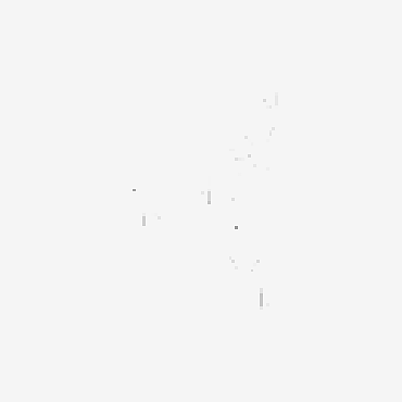 Cl.N#Cc1ccc(OCC2(CNC3CC(O)C3)CN(S(=O)(=O)c3ccc(Cl)cc3Cl)C2)cc1F